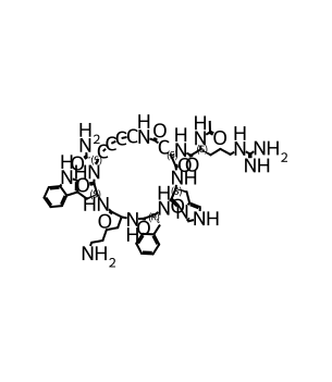 CC(=O)N[C@@H](CCCNC(=N)N)C(=O)N[C@H]1CC(=O)NCCCC[C@@H](C(N)=O)NC(=O)[C@H](Cc2c[nH]c3ccccc23)NC(=O)C(CCCCN)NC(=O)[C@@H](Cc2ccccc2)NC(=O)[C@H](Cc2c[nH]cn2)NC1=O